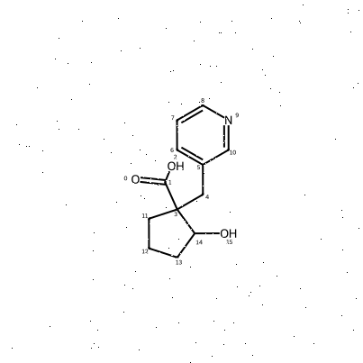 O=C(O)C1(Cc2cccnc2)CCCC1O